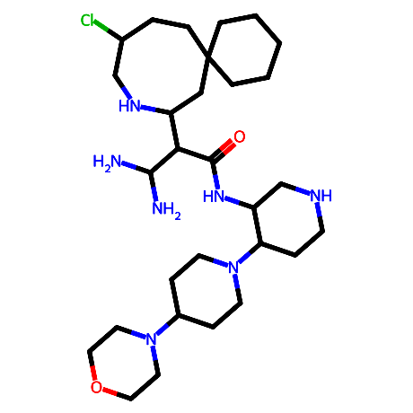 NC(N)C(C(=O)NC1CNCCC1N1CCC(N2CCOCC2)CC1)C1CC2(CCCCC2)CCC(Cl)CN1